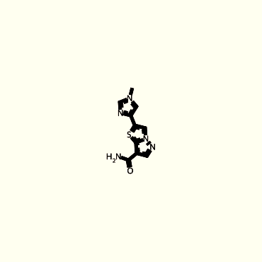 Cn1cnc(-c2cn3ncc(C(N)=O)c3s2)c1